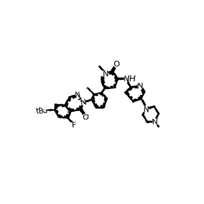 Cc1c(-c2cc(Nc3ccc(N4CCN(C)CC4)cn3)c(=O)n(C)c2)cccc1-n1ncc2cc(C(C)(C)C)cc(F)c2c1=O